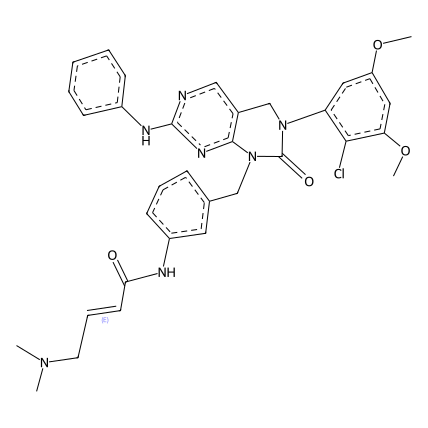 COc1cc(OC)c(Cl)c(N2Cc3cnc(Nc4ccccc4)nc3N(Cc3cccc(NC(=O)/C=C/CN(C)C)c3)C2=O)c1